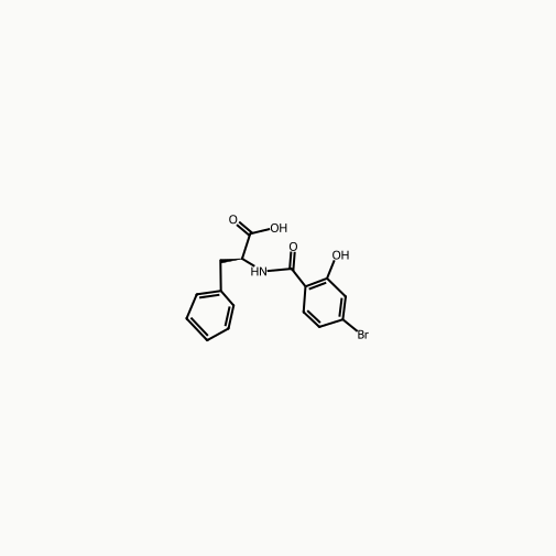 O=C(N[C@@H](Cc1ccccc1)C(=O)O)c1ccc(Br)cc1O